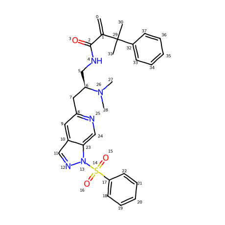 C=C(C(=O)NC[C@H](Cc1cc2cnn(S(=O)(=O)c3ccccc3)c2cn1)N(C)C)C(C)(C)c1ccccc1